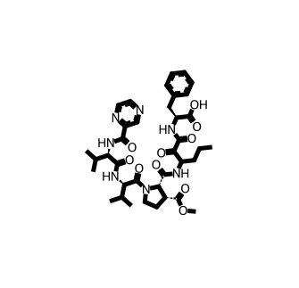 CCCC(NC(=O)[C@@H]1[C@H](C(=O)OC)CCN1C(=O)[C@@H](NC(=O)[C@@H](NC(=O)c1cnccn1)C(C)C)C(C)C)C(=O)C(=O)N[C@@H](Cc1ccccc1)C(=O)O